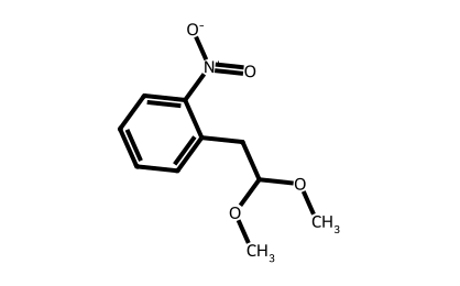 COC(Cc1ccccc1[N+](=O)[O-])OC